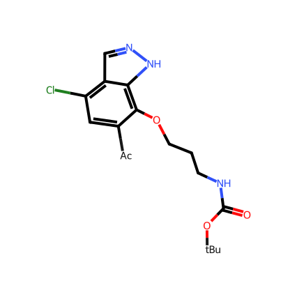 CC(=O)c1cc(Cl)c2cn[nH]c2c1OCCCNC(=O)OC(C)(C)C